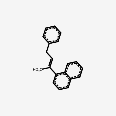 O=C(O)C(=CCc1ccccc1)c1cccc2ccccc12